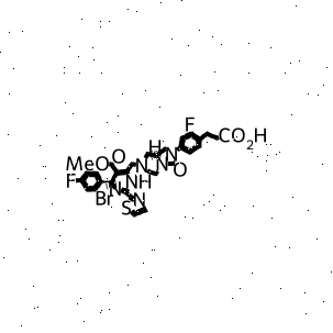 COC(=O)C1=C(CN2CCN3C(=O)N(c4ccc(CCC(=O)O)c(F)c4)C[C@@H]3C2)NC(c2nccs2)=N[C@H]1c1ccc(F)cc1Br